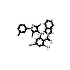 Cc1cccc(-n2nc(C)c(Nc3cc(O)cc(O)c3C(=O)n3cc4ccccc4c3)c2C)c1